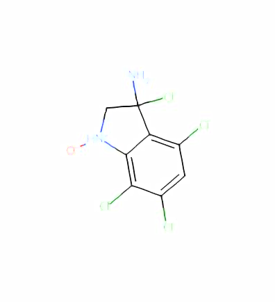 NC1(Cl)C[NH+]([O-])c2c(Cl)c(Cl)cc(Cl)c21